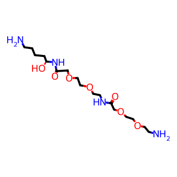 NCCCC[C@H](O)NC(=O)COCCOCCNC(=O)COCCOCCN